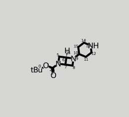 CC(C)(C)OC(=O)N1C[C@@H]2C1CN2C1CCNCC1